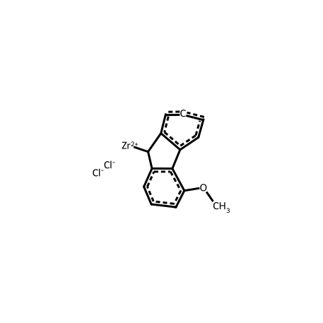 COc1cccc2c1-c1ccccc1[CH]2[Zr+2].[Cl-].[Cl-]